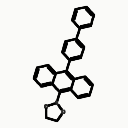 c1ccc(-c2ccc(-c3c4ccccc4c(B4OCCO4)c4ccccc34)cc2)cc1